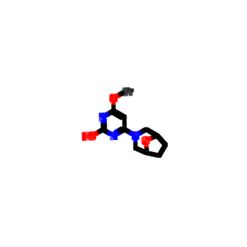 CC(C)Oc1cc(N2CC3CCC(C2)O3)nc(O)n1